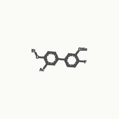 CCOc1ccc(-c2ccc(F)c(OC)c2)cc1C(C)=O